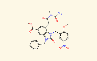 COC(=O)c1cc(CC(=O)N(C)C(N)=O)c2c(c1)n(Cc1ccccc1)c(=O)n2Cc1cc([N+](=O)[O-])ccc1OC